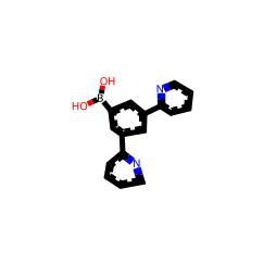 OB(O)c1cc(-c2ccccn2)cc(-c2ccccn2)c1